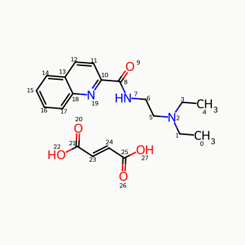 CCN(CC)CCNC(=O)c1ccc2ccccc2n1.O=C(O)C=CC(=O)O